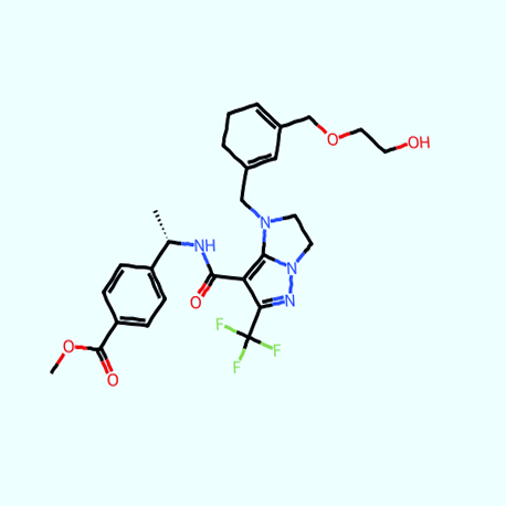 COC(=O)c1ccc([C@H](C)NC(=O)c2c(C(F)(F)F)nn3c2N(CC2=CC(COCCO)=CCC2)CC3)cc1